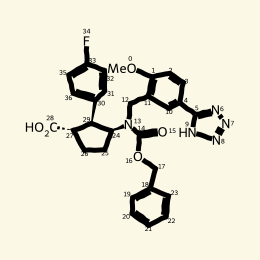 COc1ccc(-c2nnn[nH]2)cc1CN(C(=O)OCc1ccccc1)[C@H]1CC[C@H](C(=O)O)[C@H]1c1ccc(F)cc1